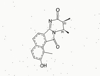 Cc1c(O)ccc2ccc3c(c12)C(=O)N1C3=NC(=O)[C@@H](C)[C@H]1C